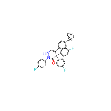 C[Se]c1ccc(C2=CNN(c3ccc(F)cc3)C(=O)C2(c2ccc(F)cc2)c2ccc(F)cc2)cc1